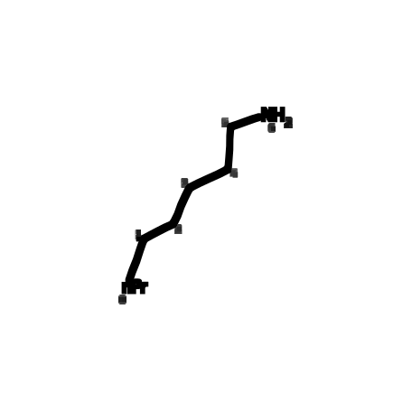 CCC[CH]CCCCN